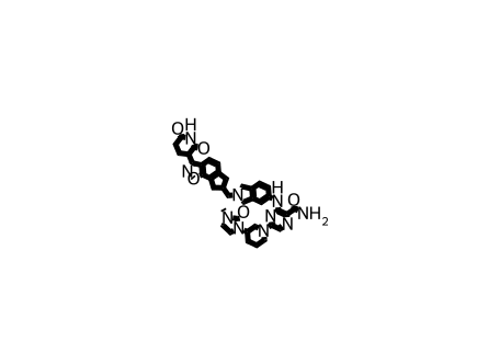 CN1CCN(C2CCCN(c3cnc(C(N)=O)c(Nc4ccc5c(c4)CN(CC4Cc6ccc7c(C8CCC(=O)NC8=O)noc7c6C4)C5)n3)C2)C1=O